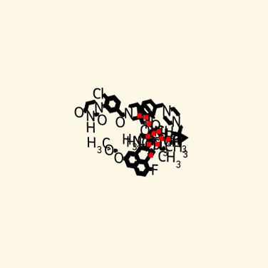 COCOc1cc(-c2ncc3c(N4CC5CCC(C4)N5C(=O)OC(C)(C)C)nc(NCC4(CN5CCN(CC6CCC7(CC6)CCN(C(=O)c6ccc(Cl)c(N8CCC(=O)NC8=O)c6)CC7)CC5)CC4)nc3c2F)c2c(C#C[Si](C(C)C)(C(C)C)C(C)C)c(F)ccc2c1